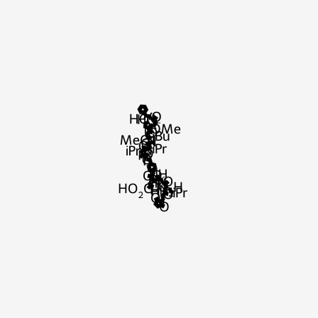 CC[C@H](C)[C@@H]([C@@H](CC(=O)N1CCC[C@H]1[C@H](OC)[C@@H](C)C(=O)N[C@H](C)[C@@H](O)c1ccccc1)OC)N(C)C(=O)[C@@H](NC(=O)[C@H](C(C)C)N(C)C(=O)OCc1ccc(NC(=O)[C@H](CC(C(=O)O)C(=O)O)NC(=O)[C@H](C)NC(=O)[C@@H](CCC(C)C)NC(=O)CCN2C(=O)C=CC2=O)cc1)C(C)C